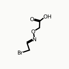 O=C(O)CON=CCBr